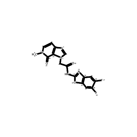 Cn1ccc2ncn(CC(=O)Nc3nc4cc(F)c(F)cc4o3)c2c1=O